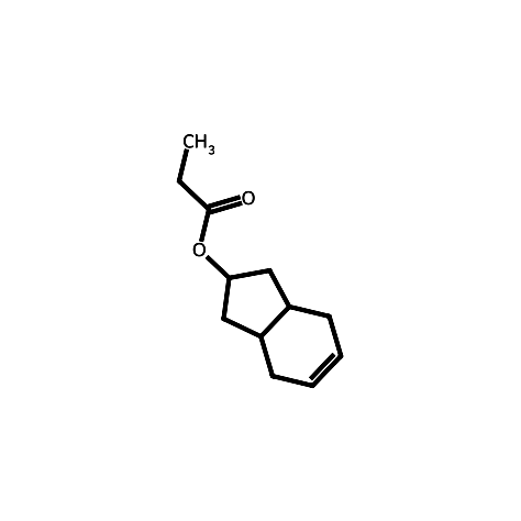 CCC(=O)OC1CC2CC=CCC2C1